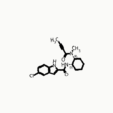 CC#CC(=O)N(C)[C@@H]1CCCC[C@@H]1NC(=O)c1cc2cc(Cl)ccc2[nH]1